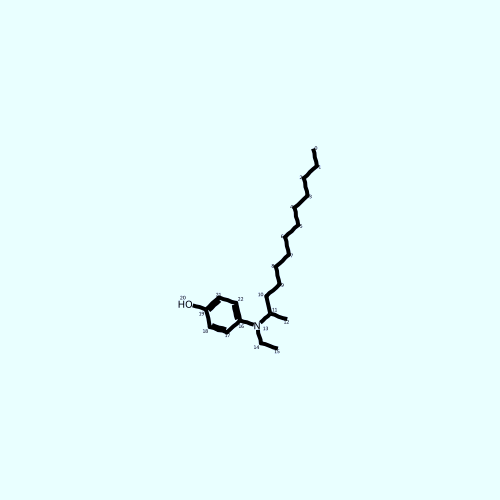 CCCCCCCCCCCC(C)N(CC)c1ccc(O)cc1